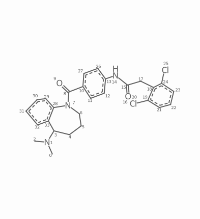 CN(C)C1CCCN(C(=O)c2ccc(NC(=O)Cc3c(Cl)cccc3Cl)cc2)c2ccccc21